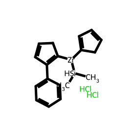 C[SiH](C)[Zr]([C]1=CC=CC1)[C]1=C(c2ccccc2)C=CC1.Cl.Cl